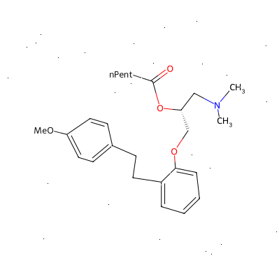 CCCCCC(=O)O[C@@H](COc1ccccc1CCc1ccc(OC)cc1)CN(C)C